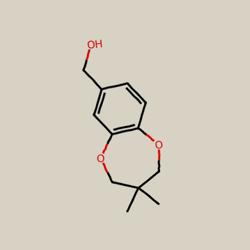 CC1(C)COc2ccc(CO)cc2OC1